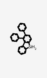 c1ccc(-c2ccc3c(c2-c2ccccc2)-c2ccccc2[SiH2]3)cc1